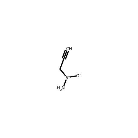 C#CC[S+](N)[O-]